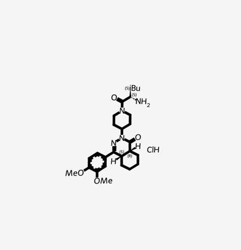 CC[C@H](C)[C@H](N)C(=O)N1CCC(N2N=C(c3ccc(OC)c(OC)c3)[C@H]3CCCC[C@H]3C2=O)CC1.Cl